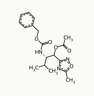 CC(=O)OC(c1noc(C)n1)[C@@H](NC(=O)OCc1ccccc1)C(C)C